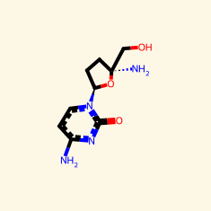 Nc1ccn([C@H]2CC[C@@](N)(CO)O2)c(=O)n1